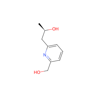 C[C@@H](O)Cc1cccc(CO)n1